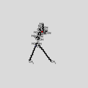 CCCCCCCCCCCCC/C=C/[C@@H](O)[C@H](CO[C@@H]1O[C@H](CO)[C@@H](O[C@@H]2O[C@H](CO)[C@H](O)[C@H](O[C@]3(C(=O)O)C[C@H](O)[C@@H](NC(=O)CO)[C@H]([C@H](O)[C@H](O)CO)O3)[C@H]2O)[C@H](O)[C@H]1O)NC(=O)CCCCCCCCCCCCCCCCC